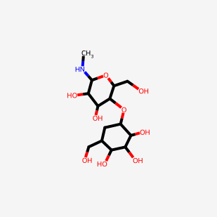 CNC1OC(CO)C(OC2CC(CO)C(O)C(O)C2O)C(O)C1O